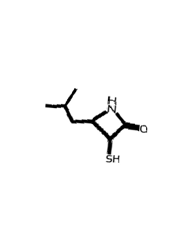 CC(C)CC1NC(=O)C1S